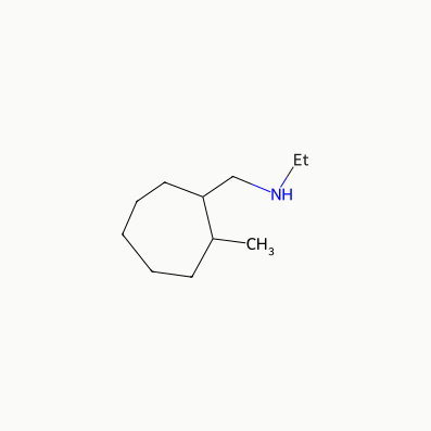 CCNCC1CCCCCC1C